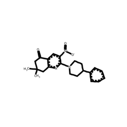 CC1(C)CC(=O)c2cc([N+](=O)[O-])c(N3CCC(c4ccccc4)CC3)nc2C1